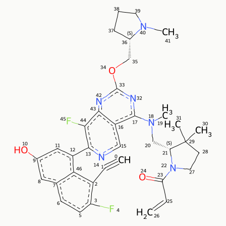 C#Cc1c(F)ccc2cc(O)cc(-c3ncc4c(N(C)C[C@H]5N(C(=O)C=C)CCC5(C)C)nc(OC[C@@H]5CCCN5C)nc4c3F)c12